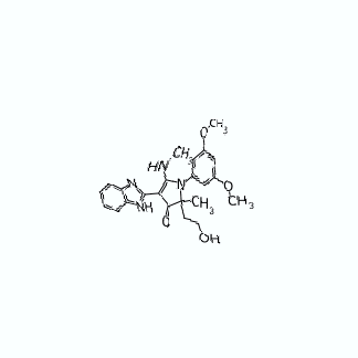 CNC1=C(c2nc3ccccc3[nH]2)C(=O)C(C)(CCO)N1c1cc(OC)cc(OC)c1